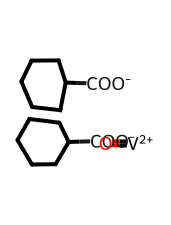 O=C([O-])C1CCCCC1.O=C([O-])C1CCCCC1.[O]=[V+2]